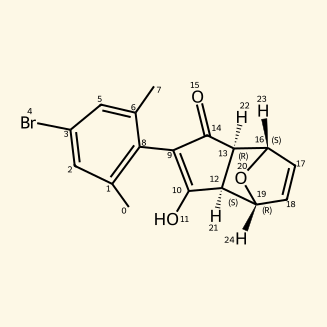 Cc1cc(Br)cc(C)c1C1=C(O)[C@H]2[C@@H](C1=O)[C@@H]1C=C[C@H]2O1